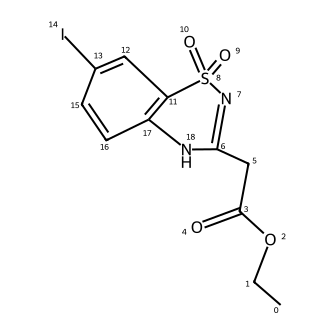 CCOC(=O)CC1=NS(=O)(=O)c2cc(I)ccc2N1